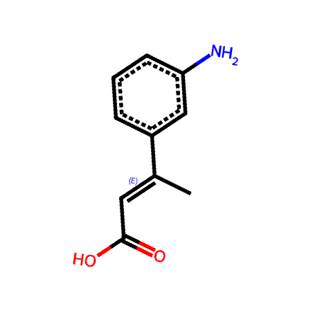 C/C(=C\C(=O)O)c1cccc(N)c1